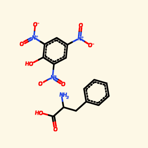 NC(Cc1ccccc1)C(=O)O.O=[N+]([O-])c1cc([N+](=O)[O-])c(O)c([N+](=O)[O-])c1